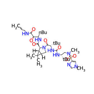 C=CCNC(=O)C(=O)C(CCCC)NC(=O)[C@@H]1[C@@H]2[C@H](CN1C(=O)[C@@H](NC(=O)N[C@H](CN(C)S(=O)(=O)c1cn(C)cn1)C(C)(C)C)C(C)(C)C)C2(C)C